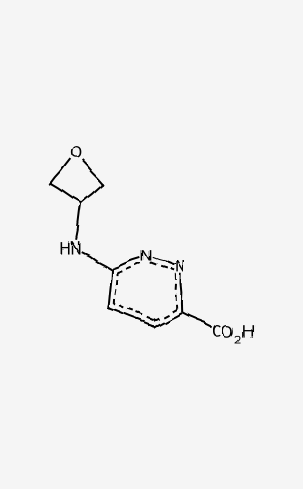 O=C(O)c1ccc(NC2COC2)nn1